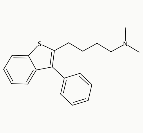 CN(C)CCCCc1sc2ccccc2c1-c1ccccc1